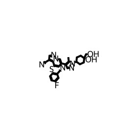 Cc1c(-c2cc(Sc3ccc(F)cc3C#N)c3c(C#N)cnn3c2)cnn1C1CCC(O)(CO)CC1